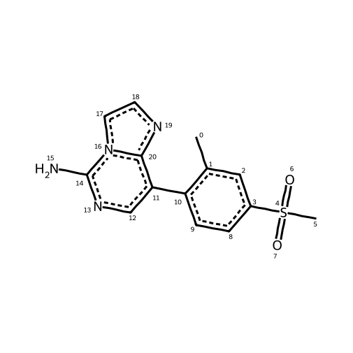 Cc1cc(S(C)(=O)=O)ccc1-c1cnc(N)n2ccnc12